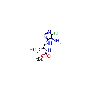 CC(C)(C)OC(=O)NC(CNc1ncnc(Cl)c1N)C(=O)O